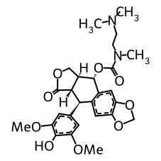 COc1cc([C@@H]2c3cc4c(cc3[C@@H](OC(=O)N(C)CCN(C)C)[C@@H]3COC(=O)[C@@H]23)OCO4)cc(OC)c1O